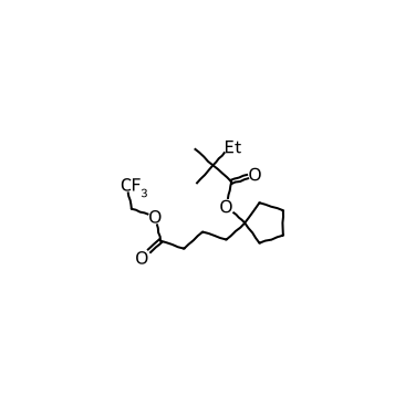 CCC(C)(C)C(=O)OC1(CCCC(=O)OCC(F)(F)F)CCCC1